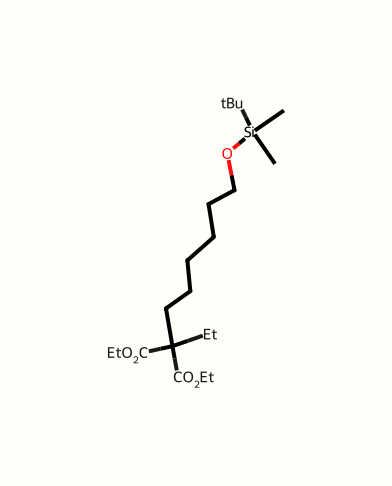 CCOC(=O)C(CC)(CCCCCCO[Si](C)(C)C(C)(C)C)C(=O)OCC